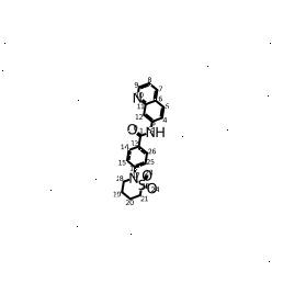 O=C(Nc1ccc2cccnc2c1)c1ccc(N2CCCCS2(=O)=O)cc1